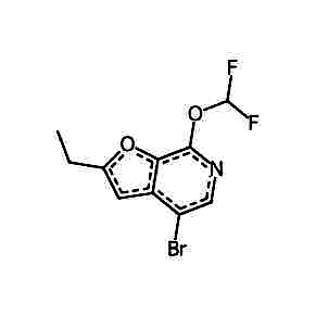 CCc1cc2c(Br)cnc(OC(F)F)c2o1